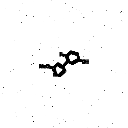 COc1cc(-c2cc(O)ccc2F)ccn1